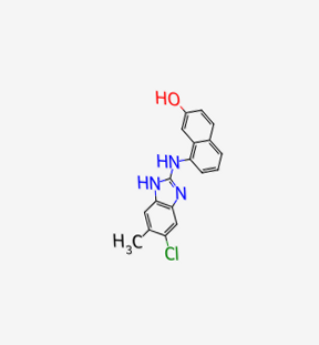 Cc1cc2[nH]c(Nc3cccc4ccc(O)cc34)nc2cc1Cl